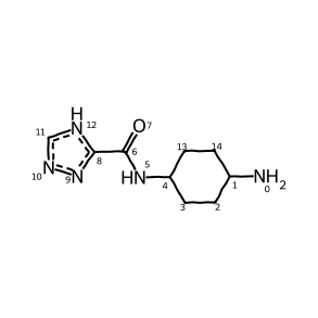 NC1CCC(NC(=O)c2nnc[nH]2)CC1